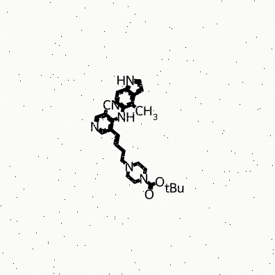 Cc1c(Nc2c(C#N)cncc2C=CCCN2CCN(C(=O)OC(C)(C)C)CC2)ccc2[nH]ccc12